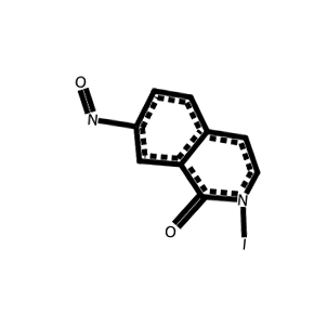 O=Nc1ccc2ccn(I)c(=O)c2c1